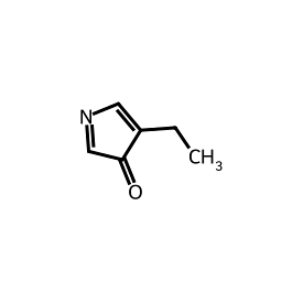 CCC1=CN=CC1=O